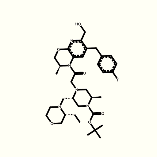 CC[C@@H]1COCCN1C[C@H]1CN(C(=O)OC(C)(C)C)[C@H](C)CN1CC(=O)N1c2cc(Cc3ccc(F)cc3)c(CO)nc2OC[C@@H]1C